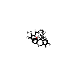 B[C@]1(N2[C@@H]3COCCN3C(=O)c3c(O)c(=O)ccn32)c2ccccc2SCc2c1ccc(F)c2F